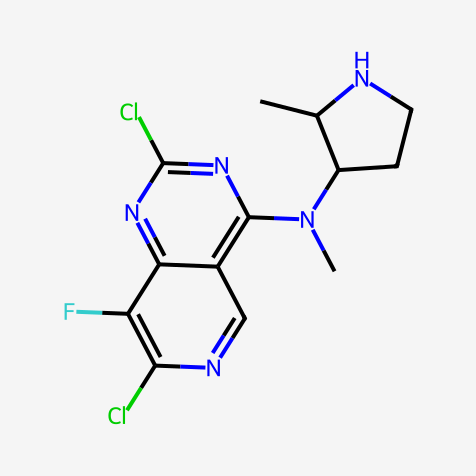 CC1NCCC1N(C)c1nc(Cl)nc2c(F)c(Cl)ncc12